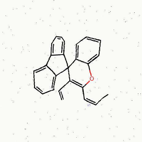 C=CC1=C(/C=C\C)Oc2ccccc2C12c1ccccc1-c1ccccc12